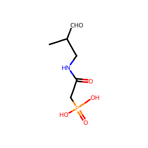 CC(C=O)CNC(=O)CP(=O)(O)O